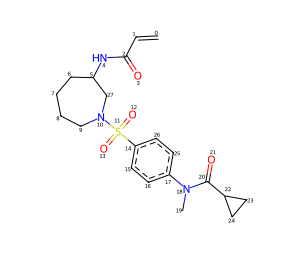 C=CC(=O)NC1CCCCN(S(=O)(=O)c2ccc(N(C)C(=O)C3CC3)cc2)C1